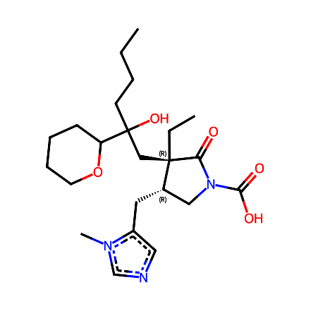 CCCCC(O)(C[C@@]1(CC)C(=O)N(C(=O)O)C[C@@H]1Cc1cncn1C)C1CCCCO1